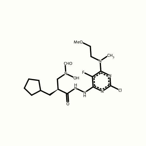 COCCN(C)c1nc(Cl)nc(NNC(=O)[C@@H](CC2CCCC2)CN(O)C=O)c1F